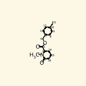 Cn1c(C(=O)OCc2ccc(I)cc2)cccc1=O